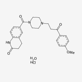 COc1ccc(C(=O)CCN2CCN(C(=O)c3ccc4c(c3)CCC(=O)N4)CC2)cc1.Cl.O